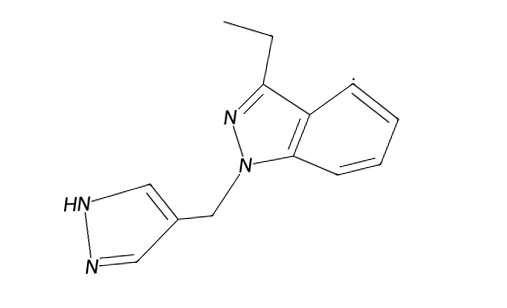 CCc1nn(Cc2cn[nH]c2)c2ccc[c]c12